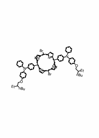 CCCCC(CC)COc1ccc(N(c2ccccc2)c2ccc(-c3c4nc(c(Br)c5ccc([nH]5)c(-c5ccc(N(c6ccccc6)c6ccc(OCC(CC)CCCC)cc6)cc5)c5nc(c(Br)c6ccc3[nH]6)C=C5)C=C4)cc2)cc1